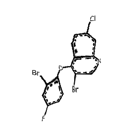 Fc1ccc(Oc2c(Br)cnc3cc(Cl)ccc23)c(Br)c1